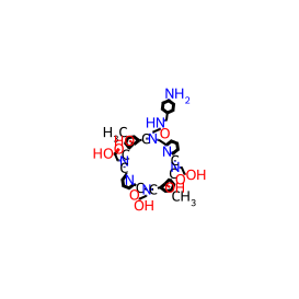 Cc1cc2c(O)c(c1)CN(CC(=O)O)Cc1cccc(n1)CN(CC(=O)NCc1ccc(N)cc1)Cc1cc(C)cc(c1O)CN(CC(=O)O)Cc1cccc(n1)CN(CC(=O)O)C2